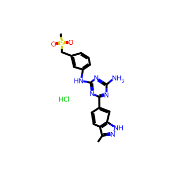 Cc1n[nH]c2cc(-c3nc(N)nc(Nc4cccc(CS(C)(=O)=O)c4)n3)ccc12.Cl